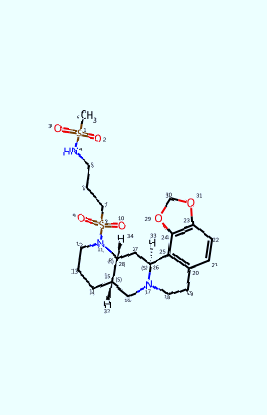 CS(=O)(=O)NCCCS(=O)(=O)N1CCC[C@H]2CN3CCc4ccc5c(c4[C@@H]3C[C@H]21)OCO5